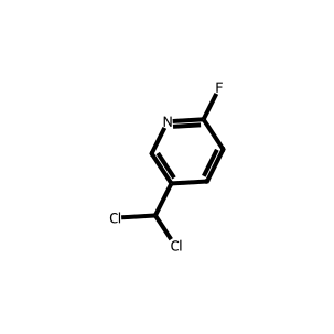 Fc1ccc(C(Cl)Cl)cn1